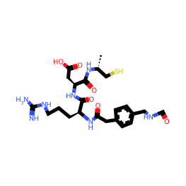 C[C@H](CS)NC(=O)[C@H](CC(=O)O)NC(=O)[C@H](CCCNC(=N)N)NC(=O)Cc1ccc(CNC=O)cc1